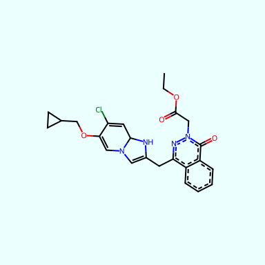 CCOC(=O)Cn1nc(CC2=CN3C=C(OCC4CC4)C(Cl)=CC3N2)c2ccccc2c1=O